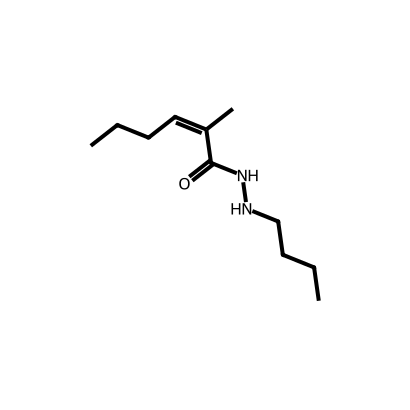 CCCC=C(C)C(=O)NNCCCC